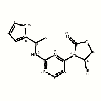 CC(Nc1nccc(N2C(=O)OCC2C(C)C)n1)c1cccs1